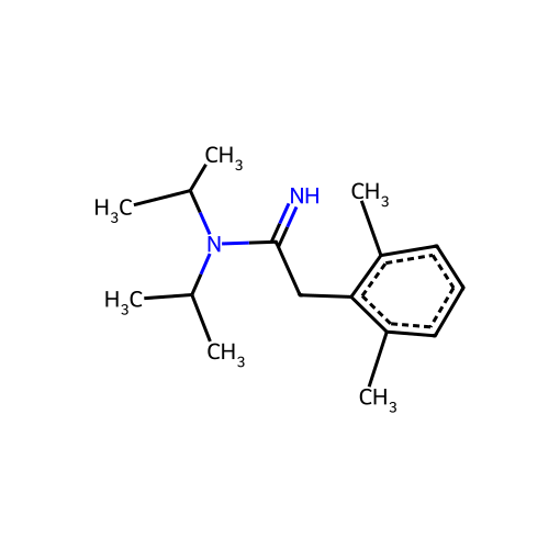 Cc1cccc(C)c1CC(=N)N(C(C)C)C(C)C